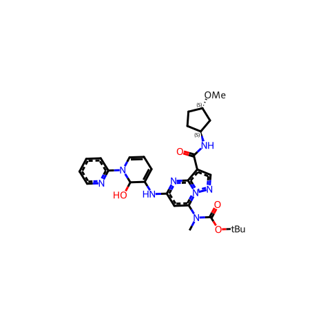 CO[C@H]1CC[C@H](NC(=O)c2cnn3c(N(C)C(=O)OC(C)(C)C)cc(NC4=CC=CN(c5ccccn5)C4O)nc23)C1